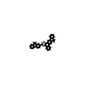 CC1(C)c2ccccc2-c2ccc(-c3nnc4c5cc6c(cc5c5ccccc5c4n3)C(C)(C)c3ccccc3-6)cc21